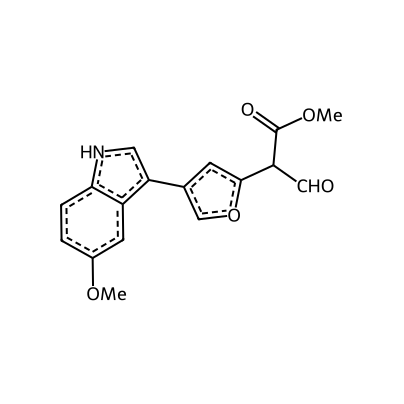 COC(=O)C(C=O)c1cc(-c2c[nH]c3ccc(OC)cc23)co1